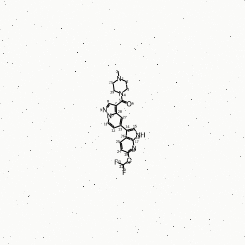 CN1CCN(C(=O)c2cnn3ccc(-c4c[nH]c5nc(OC(F)F)ccc45)cc23)CC1